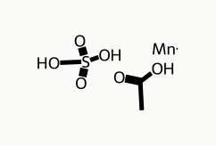 CC(=O)O.O=S(=O)(O)O.[Mn]